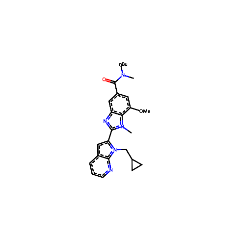 CCCCN(C)C(=O)c1cc(OC)c2c(c1)nc(-c1cc3cccnc3n1CC1CC1)n2C